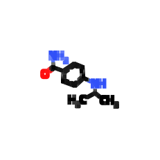 CC(C)Nc1ccc(C(N)=O)cc1